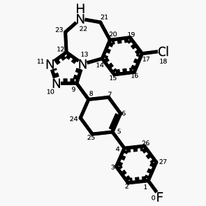 Fc1ccc(C2=CCC(c3nnc4n3-c3ccc(Cl)cc3CNC4)CC2)cc1